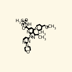 COCC1CCN(c2cc(C(=O)NS(C)(=O)=O)nc3c2c(C(C)C)nn3-c2ccnc(N3CCOCC3)n2)CC1